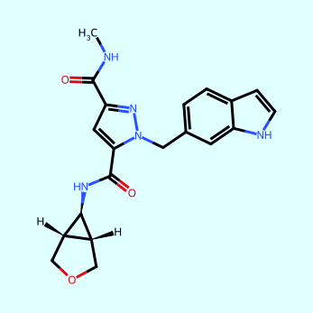 CNC(=O)c1cc(C(=O)N[C@H]2[C@@H]3COC[C@@H]32)n(Cc2ccc3cc[nH]c3c2)n1